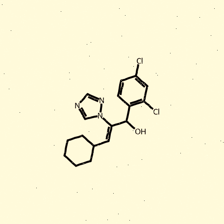 OC(/C(=C/C1CCCCC1)n1cncn1)c1ccc(Cl)cc1Cl